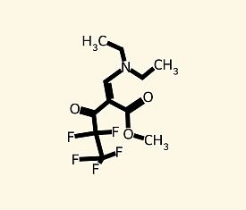 CCN(C=C(C(=O)OC)C(=O)C(F)(F)C(F)(F)F)CC